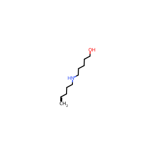 C=CCCCNCCCCCO